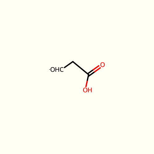 O=[C]CC(=O)O